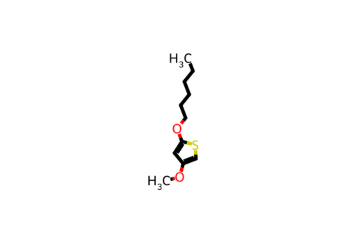 CCCCCCOc1cc(OC)cs1